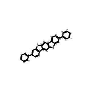 c1ccc(-c2ccc3c(c2)sc2cc4c(cc23)sc2cc(-c3ccccc3)ccc24)cc1